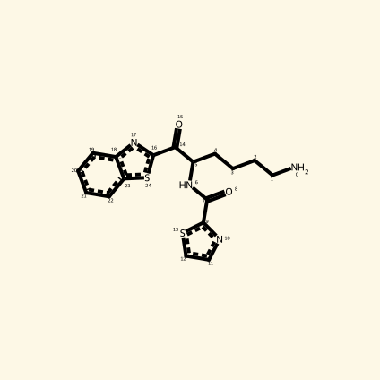 NCCCCC(NC(=O)c1nccs1)C(=O)c1nc2ccccc2s1